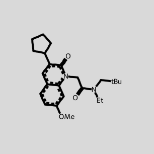 CCN(CC(C)(C)C)C(=O)Cn1c(=O)c(C2CCCC2)cc2ccc(OC)cc21